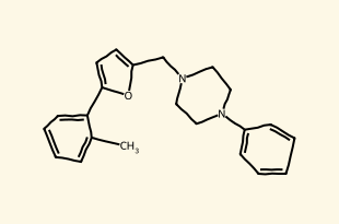 Cc1ccccc1-c1ccc(CN2CCN(c3ccccc3)CC2)o1